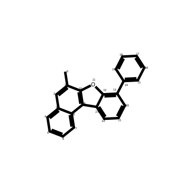 Cc1cc2ccccc2c2c1oc1c(-c3ccccc3)cccc12